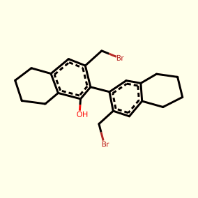 Oc1c2c(cc(CBr)c1-c1cc3c(cc1CBr)CCCC3)CCCC2